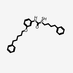 O=C(Nc1cccc(OCCCCCc2ccccc2)c1)N(S)CCCCc1ccccc1